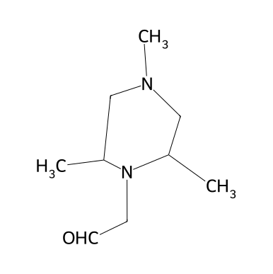 CC1CN(C)CC(C)N1CC=O